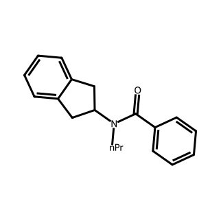 CCCN(C(=O)c1ccccc1)C1Cc2ccccc2C1